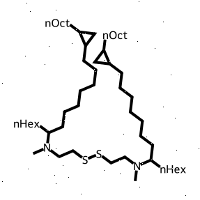 CCCCCCCCC1CC1CCCCCCCC(CCCCCC)N(C)CCSSCCN(C)C(CCCCCC)CCCCCCCC1CC1CCCCCCCC